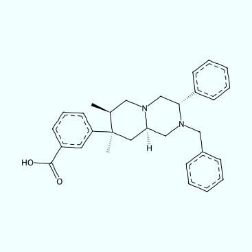 C[C@H]1CN2C[C@H](c3ccccc3)N(Cc3ccccc3)C[C@H]2C[C@@]1(C)c1cccc(C(=O)O)c1